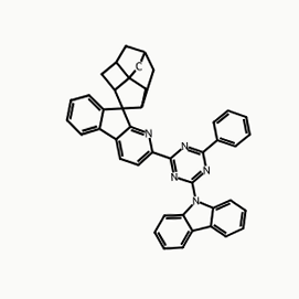 c1ccc(-c2nc(-c3ccc4c(n3)C3(c5ccccc5-4)C4CC5CC6CC3C6(C5)C4)nc(-n3c4ccccc4c4ccccc43)n2)cc1